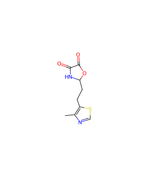 Cc1ncsc1CCC1NC(=O)C(=O)O1